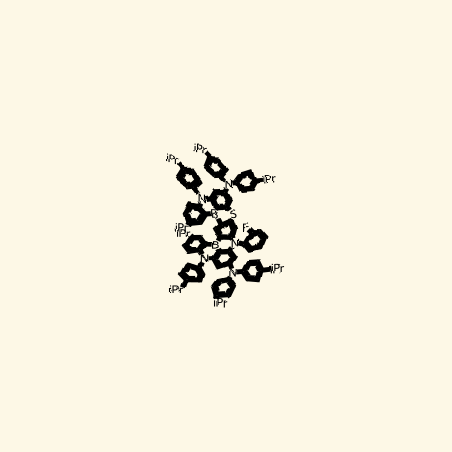 CC(C)c1ccc(N(c2ccc(C(C)C)cc2)c2cc3c4c(c2)N(c2ccc(C(C)C)cc2)c2ccc(C(C)C)cc2B4c2cc4c(cc2S3)N(c2ccccc2F)c2cc(N(c3ccc(C(C)C)cc3)c3ccc(C(C)C)cc3)cc3c2B4c2cc(C(C)C)ccc2N3c2ccc(C(C)C)cc2)cc1